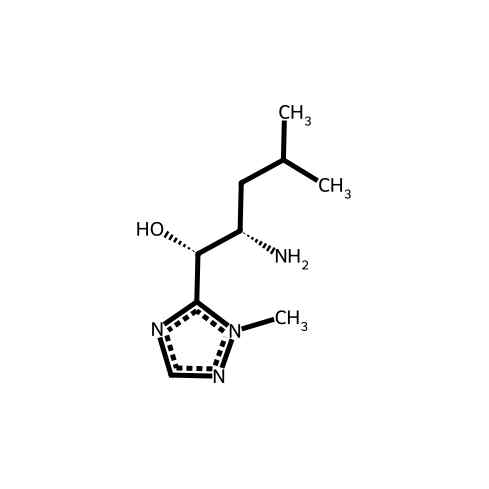 CC(C)C[C@H](N)[C@@H](O)c1ncnn1C